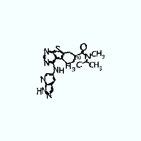 CC(C)N(C)C(=O)[C@H]1CCc2c(sc3ncnc(Nc4cnc5[nH]ncc5c4)c23)C1